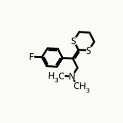 CN(C)CC(=C1SCCCS1)c1ccc(F)cc1